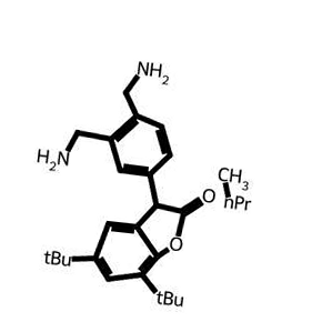 CC(C)(C)c1cc2c(c(C(C)(C)C)c1)OC(=O)C2c1ccc(CN)c(CN)c1.CCCC